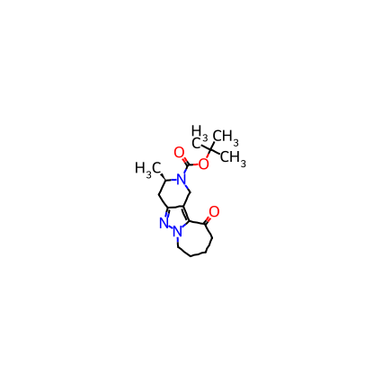 C[C@@H]1Cc2nn3c(c2CN1C(=O)OC(C)(C)C)C(=O)CCCC3